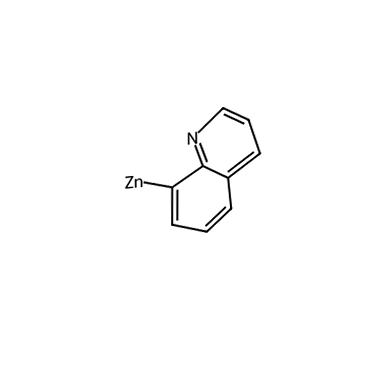 [Zn][c]1cccc2cccnc12